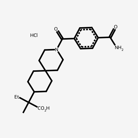 CCC(C)(C(=O)O)C1CCC2(CC1)CCN(C(=O)c1ccc(C(N)=O)cc1)CC2.Cl